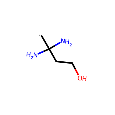 [CH2]C(N)(N)CCO